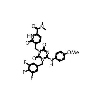 COc1ccc(Nc2nc(=O)n(Cc3ccc(C(=O)N(C)C)[nH]c3=O)c(=O)n2Cc2cc(F)c(F)c(F)c2)cc1